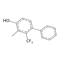 Cc1c(O)ccc(-c2ccccc2)c1C(F)(F)F